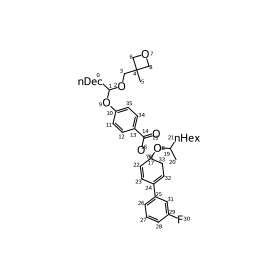 CCCCCCCCCCC(OCC1(C)COC1)Oc1ccc(C(=O)O[C@@]2(OC(C)CCCCCC)C=CC(c3cccc(F)c3)=CC2)cc1